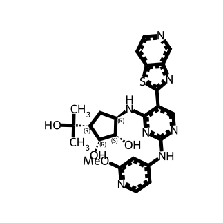 COc1cc(Nc2ncc(-c3nc4cnccc4s3)c(N[C@@H]3C[C@@H](C(C)(C)O)[C@@H](O)[C@H]3O)n2)ccn1